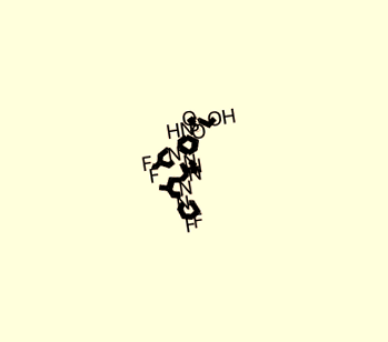 Cc1cc(-c2cn(-c3ccc(NS(=O)(=O)CCO)cc3N3CCC(C(F)F)CC3)nn2)nc(N2CCC(F)(F)CC2)c1